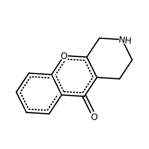 O=c1c2c(oc3ccccc13)CNCC2